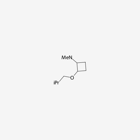 CNC1CCC1OCC(C)C